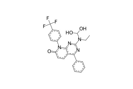 CCN(c1nc(-c2ccccc2)c2ccc(=O)n(-c3ccc(C(F)(F)F)cc3)c2n1)C(O)O